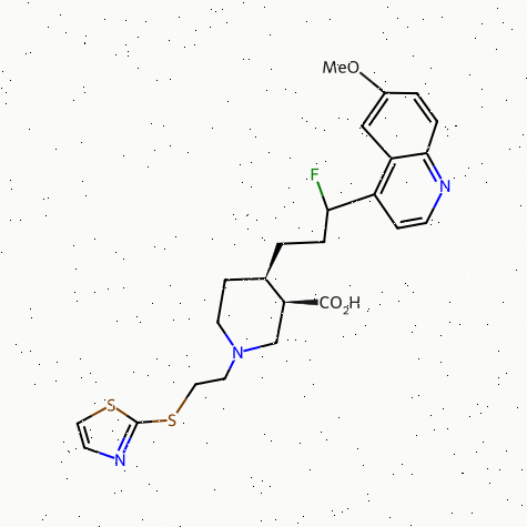 COc1ccc2nccc(C(F)CC[C@@H]3CCN(CCSc4nccs4)C[C@@H]3C(=O)O)c2c1